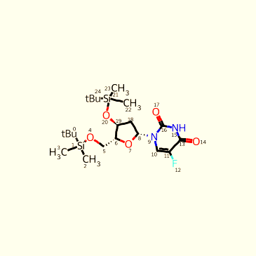 CC(C)(C)[Si](C)(C)OC[C@H]1O[C@@H](n2cc(F)c(=O)[nH]c2=O)C[C@@H]1O[Si](C)(C)C(C)(C)C